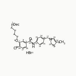 Br.CCCCCCCCCCCCCCOc1cc(C(=O)Nc2ccc(CN3C=C(C)SC3)cc2)ccc1Cl